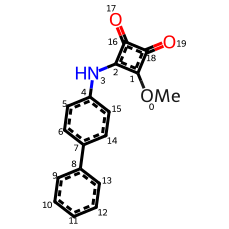 COc1c(Nc2ccc(-c3ccccc3)cc2)c(=O)c1=O